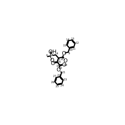 CP(=O)(O)CC(C(=O)OCc1ccccc1)C(=O)C(=O)OCc1ccccc1